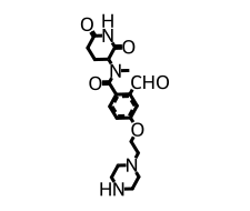 CN(C(=O)c1ccc(OCCN2CCNCC2)cc1C=O)C1CCC(=O)NC1=O